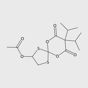 CC(=O)OC1CSC2(OC(=O)C(C(C)C)(C(C)C)C(=O)O2)S1